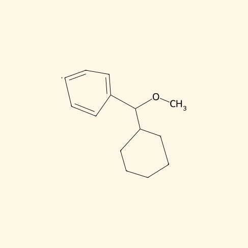 COC(c1cc[c]cc1)C1CCCCC1